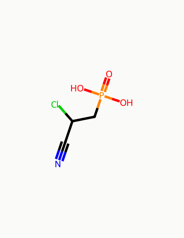 N#CC(Cl)CP(=O)(O)O